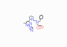 Cc1cc(C2CCCN2CCN(CC2=COCO2)Cc2ccccc2)nc(-n2ccnc2)n1